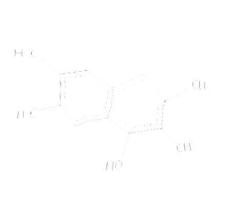 Cc1cc2cc(C)c(C)c(O)c2cc1C